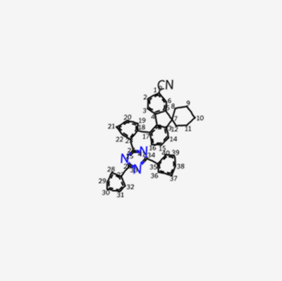 N#Cc1ccc2c(c1)C1(CCCCC1)c1cccc(-c3ccccc3-c3nc(-c4ccccc4)nc(-c4ccccc4)n3)c1-2